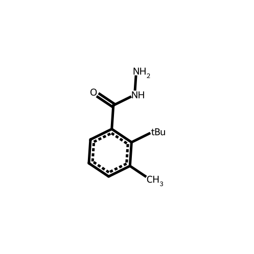 Cc1cccc(C(=O)NN)c1C(C)(C)C